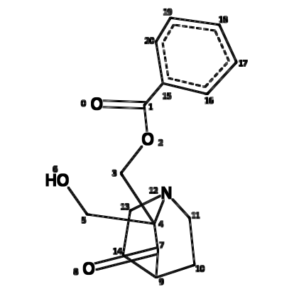 O=C(OCC1(CO)C(=O)C2CCN1CC2)c1ccccc1